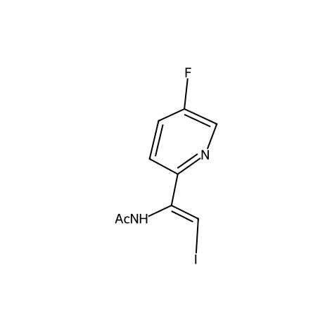 CC(=O)NC(=CI)c1ccc(F)cn1